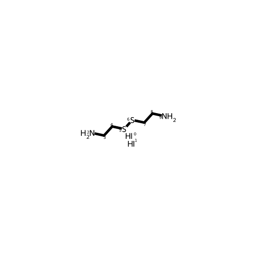 I.I.NCCSSCCN